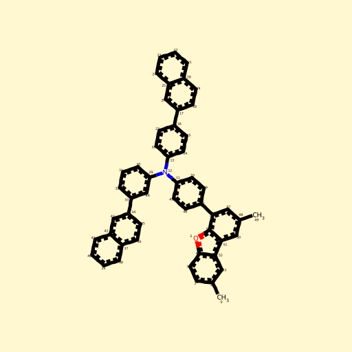 Cc1ccc2oc3c(-c4ccc(N(c5ccc(-c6ccc7ccccc7c6)cc5)c5cccc(-c6ccc7ccccc7c6)c5)cc4)cc(C)cc3c2c1